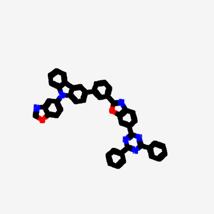 c1ccc(-c2nc(-c3ccccc3)nc(-c3ccc4nc(-c5cccc(-c6ccc7c(c6)c6ccccc6n7-c6ccc7ocnc7c6)c5)oc4c3)n2)cc1